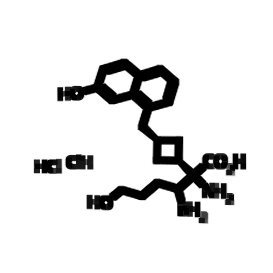 BC(CCCO)C(N)(C(=O)O)[C@H]1C[C@@H](Cc2cccc3ccc(O)cc23)C1.Cl.Cl